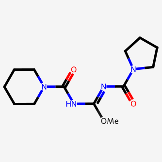 COC(=NC(=O)N1CCCC1)NC(=O)N1CCCCC1